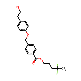 O=C(OCCCC(F)(F)C(F)(F)F)c1ccc(COc2ccc(CCO)cc2)cc1